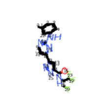 Cc1cccc(Nc2nccc(-c3cc(C(=O)N[C@@H](CF)C(F)F)n(C)n3)n2)c1